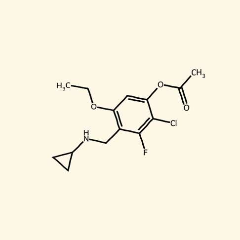 CCOc1cc(OC(C)=O)c(Cl)c(F)c1CNC1CC1